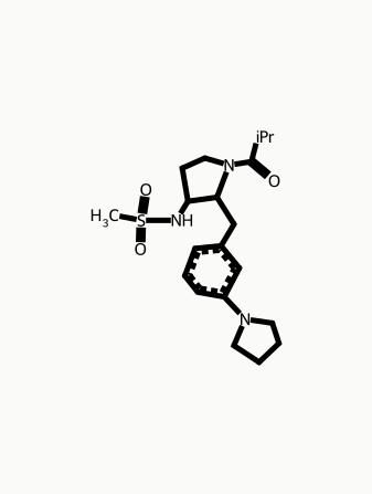 CC(C)C(=O)N1CCC(NS(C)(=O)=O)C1Cc1cccc(N2CCCC2)c1